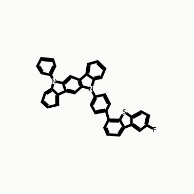 Fc1ccc2sc3c(-c4ccc(-n5c6ccccc6c6cc7c(cc65)c5ccccc5n7-c5ccccc5)cc4)cccc3c2c1